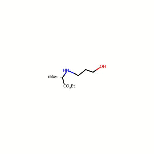 CCCC[C@H](NCCCO)C(=O)OCC